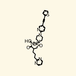 O=C(NO)C(CCCc1ncccn1)CS(=O)(=O)N1CCN(c2ccc(C#Cc3cccs3)cn2)CC1